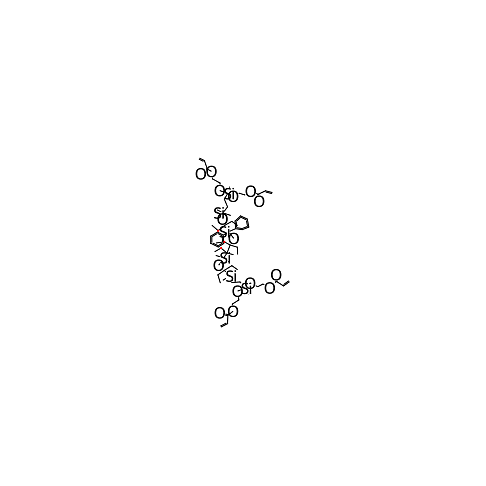 C=CC(=O)OCCO[Si](C)(CC[Si](C)(C)OC(CC)(CC)[Si](OC(CC)(CC)C(C)(CC)[Si](C)(C)OC(CC)(CC)[Si](C)(C)CC[Si](C)(OCCOC(=O)C=C)OCCOC(=O)C=C)(c1ccccc1)c1ccccc1)OCCOC(=O)C=C